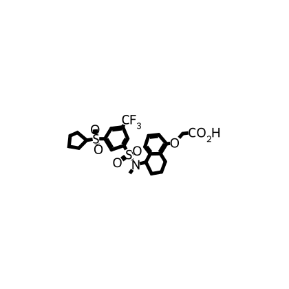 CN(C1CCCc2c(OCC(=O)O)cccc21)S(=O)(=O)c1cc(C(F)(F)F)cc(S(=O)(=O)C2CCCC2)c1